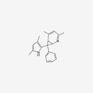 CC1=CC(C)=NC2C1C2(c1ccccc1)c1[nH]c(C)cc1C